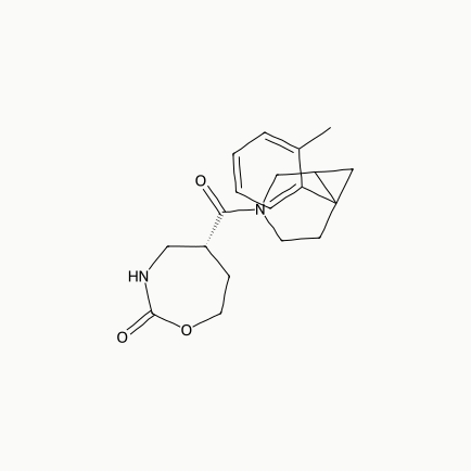 Cc1ccccc1C12CCN(C(=O)[C@@H]3CCOC(=O)NC3)CC1C2